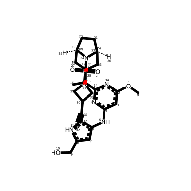 COc1cc(Nc2cc(CO)[nH]n2)nc(N(C)[C@H]2C[C@H]3CC[C@@H](C2)N3S(=O)(=O)N2CC(C#N)C2)n1